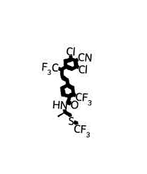 C[C@H](CSCC(F)(F)F)NC(=O)c1ccc(/C=C/C(c2cc(Cl)c(C#N)c(Cl)c2)C(F)(F)F)cc1C(F)(F)F